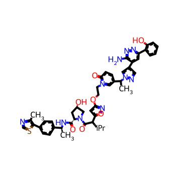 Cc1ncsc1-c1ccc([C@H](C)NC(=O)[C@@H]2C[C@@H](O)CN2C(=O)C(c2cc(OCCn3cc(C(C)n4cc(-c5cc(-c6ccccc6O)nnc5N)cn4)ccc3=O)no2)C(C)C)cc1